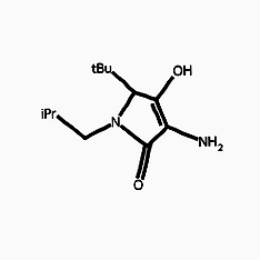 CC(C)CN1C(=O)C(N)=C(O)C1C(C)(C)C